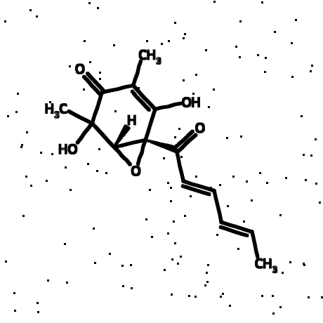 C/C=C/C=C/C(=O)[C@@]12O[C@@H]1C(C)(O)C(=O)C(C)=C2O